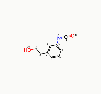 O=C=Nc1cccc(CCO)c1